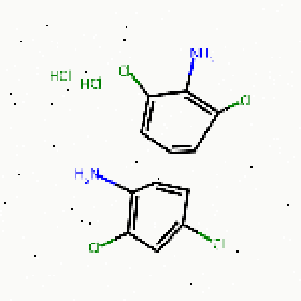 Cl.Cl.Nc1c(Cl)cccc1Cl.Nc1ccc(Cl)cc1Cl